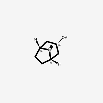 C=[N+]1[C@@H]2CC[C@H]1C[C@@H](O)C2